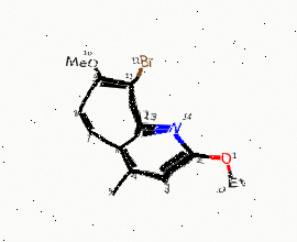 CCOc1cc(C)c2ccc(OC)c(Br)c2n1